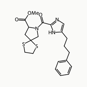 COC(=O)C1CC2(CN1C(=O)c1ncc(CCCc3ccccc3)[nH]1)SCCS2